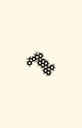 CC1(C)c2ccccc2-c2cc3c(cc21)C(C)(C)c1ccccc1N3c1ccc2ccc3c(N(c4ccccc4)c4cccc5ccccc45)ccc4ccc1c2c43